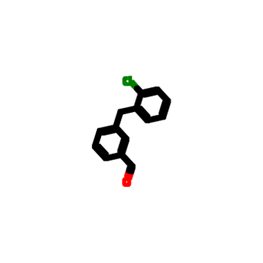 O=Cc1cccc(Cc2ccccc2Cl)c1